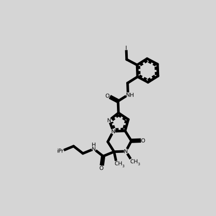 CC(C)CCNC(=O)C1(C)Cn2nc(C(=O)NCc3ccccc3CI)cc2C(=O)N1C